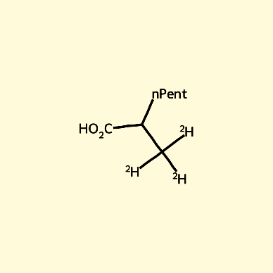 [2H]C([2H])([2H])C(CCCCC)C(=O)O